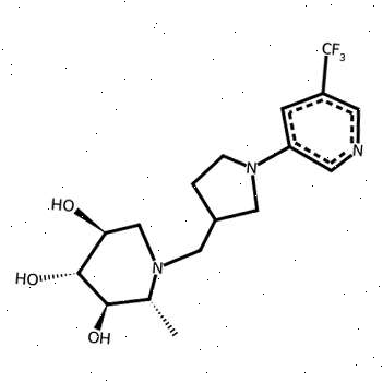 C[C@@H]1[C@@H](O)[C@H](O)[C@@H](O)CN1CC1CCN(c2cncc(C(F)(F)F)c2)C1